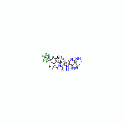 CCN(C(=O)C(=O)Nc1cnc(N)c2cn[nH]c12)[C@H](C)c1ccc(C(F)(F)C(F)(F)F)cc1C